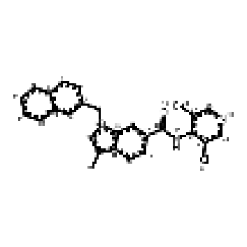 Cc1cn(Cc2ccc3ccccc3c2)c2cc(C(=O)Nc3c(Cl)cncc3Cl)ccc12